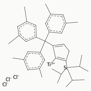 Cc1cc(C)cc(C(C2=CCC([Si](C(C)C)(C(C)C)C(C)C)=[C]2[Ti+3])(c2cc(C)cc(C)c2)c2cc(C)cc(C)c2)c1.[Cl-].[Cl-].[Cl-]